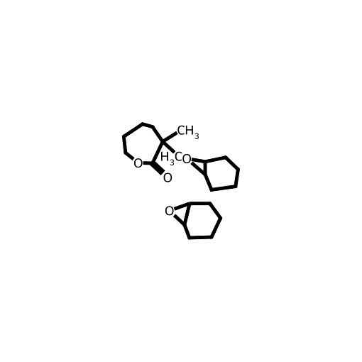 C1CCC2OC2C1.C1CCC2OC2C1.CC1(C)CCCCOC1=O